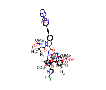 COC(=O)N[C@H](C(=O)N[C@@H](Cc1ccc(C#Cc2cnc(N3CC4CCC(C3)N4C3COC3)nc2)cc1)[C@H](CN(Cc1c(F)cc(-c2ccn(C(F)F)n2)cc1F)NC(=O)[C@@H](NC(=O)OC)C(C)(C)C(F)(F)F)OC(=O)CC(C)(C)c1c(CC(=O)N2CC[C@@H]2C(=O)O)cc(C)cc1OP(=O)(O)O)C(C)(C)C(F)(F)F